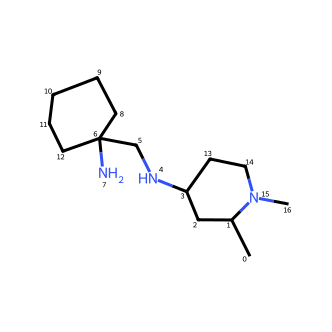 CC1CC(NCC2(N)CCCCC2)CCN1C